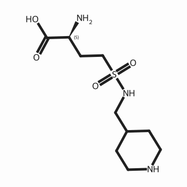 N[C@@H](CCS(=O)(=O)NCC1CCNCC1)C(=O)O